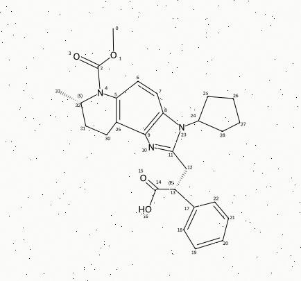 COC(=O)N1c2ccc3c(nc(C[C@@H](C(=O)O)c4ccccc4)n3C3CCCC3)c2CC[C@@H]1C